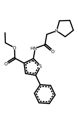 CCOC(=O)c1cc(-c2ccccc2)sc1NC(=O)CN1CCCC1